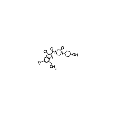 CCc1cc(C2CC2)cn2c(Cl)c(C(=O)N3CCN(C4CCC(O)CC4)C(=O)C3)nc12